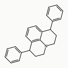 c1ccc(C2CCN3CCC(c4ccccc4)c4cccc2c43)cc1